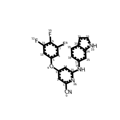 N#Cc1cc(Oc2cc(F)c(F)c(F)c2)cc(Nc2ccc3cc[nH]c3c2)n1